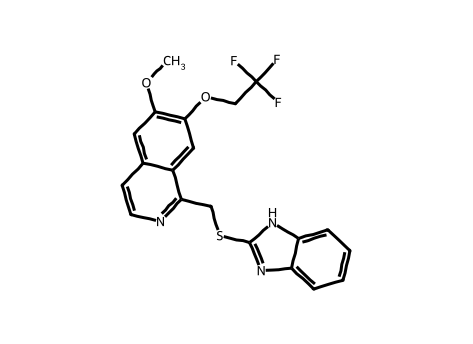 COc1cc2ccnc(CSc3nc4ccccc4[nH]3)c2cc1OCC(F)(F)F